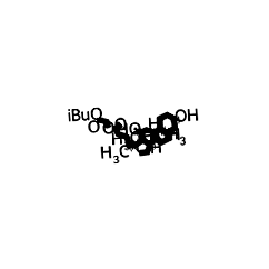 CC(C)COC(=O)COC(=O)CC[C@@H](C)[C@H]1CC[C@H]2[C@@H]3CC[C@@H]4C[C@H](O)CC[C@]4(C)[C@H]3C[C@H](O)[C@]12C